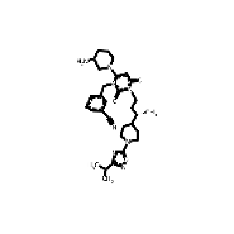 CC(C)c1noc(N2CCC([C@@H](C)CCn3c(=O)cc(N4CCCC(N)C4)n(Cc4cccc(C#N)c4)c3=O)CC2)n1